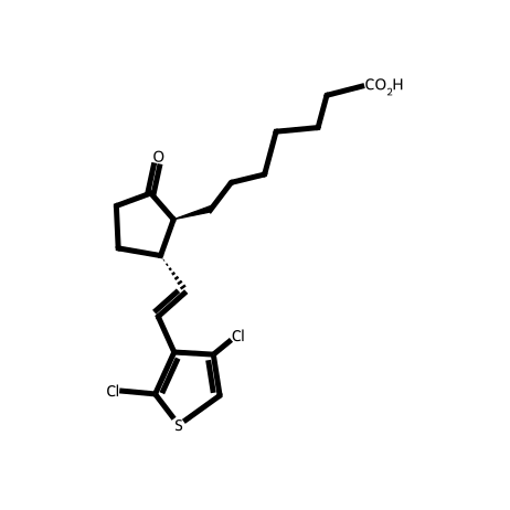 O=C(O)CCCCCC[C@@H]1C(=O)CC[C@H]1C=Cc1c(Cl)csc1Cl